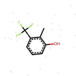 Cc1c(O)cccc1C(F)(F)F